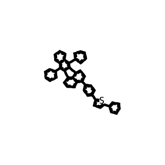 c1ccc(-c2ccc(-c3ccc(-c4ccc5c6c(cccc46)-c4c-5c(-c5ccccc5)c5ccccc5c4-c4ccccc4)cc3)s2)cc1